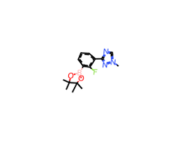 Cn1cnc(-c2cccc(B3OC(C)(C)C(C)(C)O3)c2F)n1